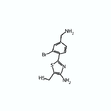 NCc1ccc(-c2nc(N)c(CS)s2)c(Br)c1